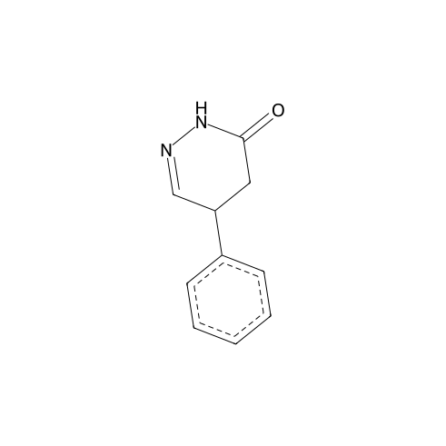 O=C1CC(c2ccccc2)C=NN1